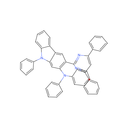 c1ccc(-c2cc(-c3ccccc3)nc(-c3cc4c5ccccc5n(-c5ccccc5)c4cc3N(c3ccccc3)c3ccccc3)n2)cc1